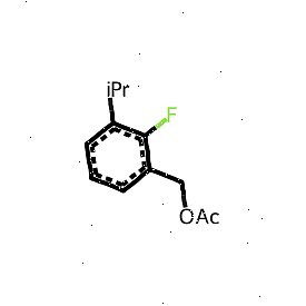 CC(=O)OCc1cccc(C(C)C)c1F